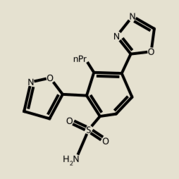 CCCc1c(-c2nnco2)ccc(S(N)(=O)=O)c1-c1ccno1